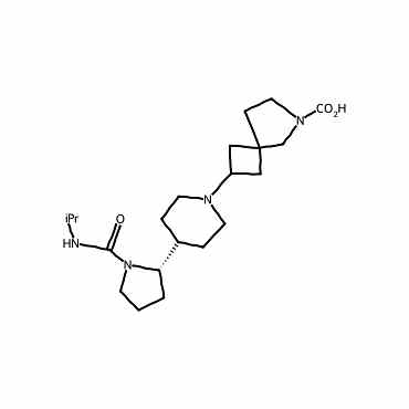 CC(C)NC(=O)N1CCC[C@H]1C1CCN(C2CC3(CCN(C(=O)O)C3)C2)CC1